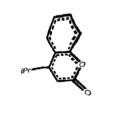 CC(C)c1cc(=O)oc2ccccc12